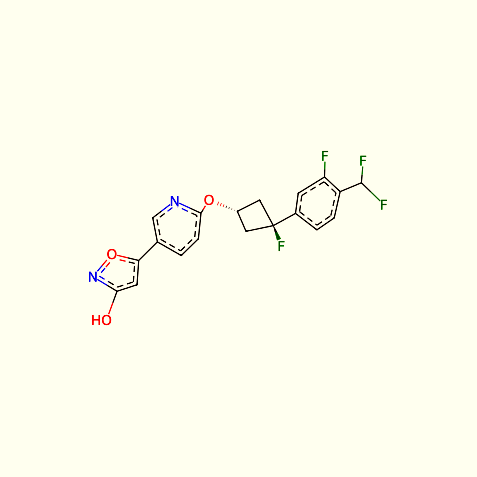 Oc1cc(-c2ccc(O[C@H]3C[C@@](F)(c4ccc(C(F)F)c(F)c4)C3)nc2)on1